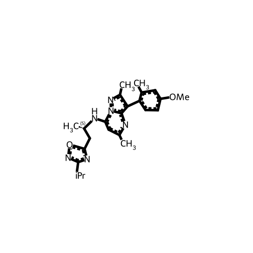 COc1ccc(-c2c(C)nn3c(N[C@@H](C)Cc4nc(C(C)C)no4)cc(C)nc23)c(C)c1